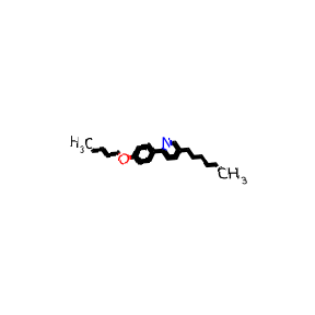 CCCCCCc1ccc(-c2ccc(OCCCCC)cc2)nc1